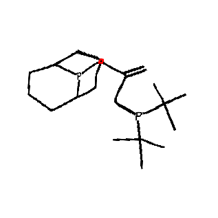 C=C(CP1C2CCCC1CCC2)CP(C(C)(C)C)C(C)(C)C